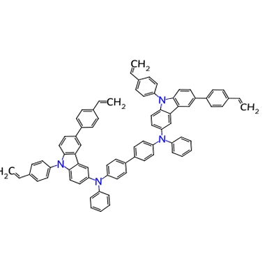 C=Cc1ccc(-c2ccc3c(c2)c2cc(N(c4ccccc4)c4ccc(-c5ccc(N(c6ccccc6)c6ccc7c(c6)c6cc(-c8ccc(C=C)cc8)ccc6n7-c6ccc(C=C)cc6)cc5)cc4)ccc2n3-c2ccc(C=C)cc2)cc1